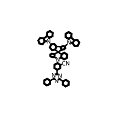 N#Cc1cc(-c2nc(-c3ccccc3)nc(-c3ccccc3)n2)ccc1N1c2ccccc2C2(c3ccc(-n4c5ccccc5c5ccccc54)cc3-c3cc(-n4c5ccccc5c5ccccc54)ccc32)c2ccccc21